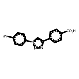 CC(C)c1ccc(-n2cc(-c3ccc(C(=O)O)cc3)nn2)cc1